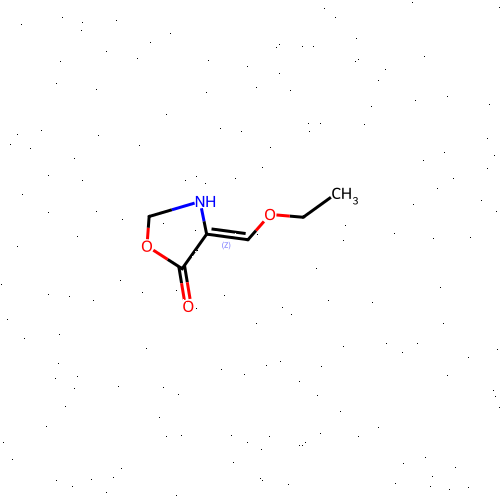 CCO/C=C1\NCOC1=O